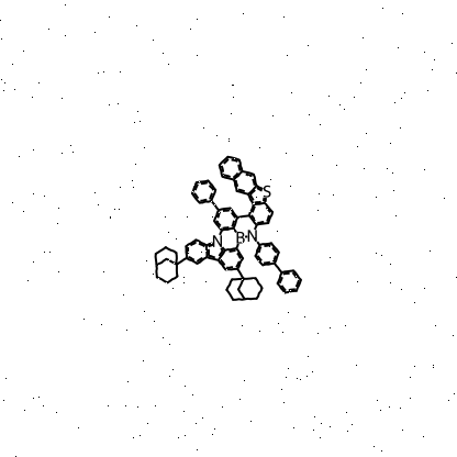 c1ccc(-c2ccc(N3B4c5c(cc(-c6ccccc6)cc5-n5c6ccc(C78CCCC(CCC7)C8)cc6c6cc(C78CCCC(CCC7)C8)cc4c65)-c4c3ccc3sc5cc6ccccc6cc5c43)cc2)cc1